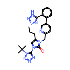 CCCc1cn(-c2nnnn2C(C)(C)C)c(=O)n1Cc1ccc(-c2ccccc2-c2nnn[nH]2)cn1